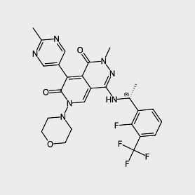 Cc1ncc(-c2c(=O)n(N3CCOCC3)cc3c(N[C@H](C)c4cccc(C(F)(F)F)c4F)nn(C)c(=O)c23)cn1